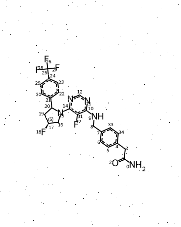 NC(=O)Cc1ccc(CNc2ncnc(N3C[C@@H](F)CC3c3ccc(C(F)(F)F)cc3)c2F)cc1